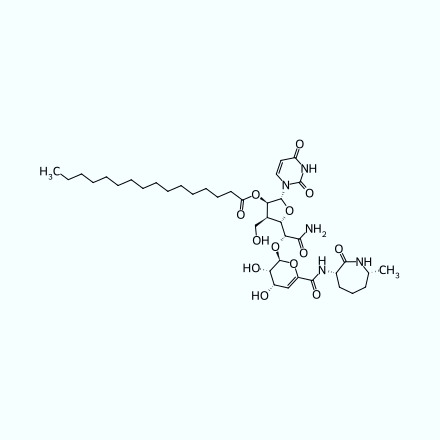 CCCCCCCCCCCCCCCC(=O)O[C@@H]1[C@H](CO)[C@@H]([C@@H](O[C@H]2OC(C(=O)N[C@H]3CCC[C@@H](C)NC3=O)=C[C@H](O)[C@@H]2O)C(N)=O)O[C@H]1n1ccc(=O)[nH]c1=O